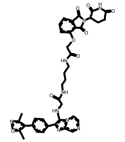 Cc1noc(C)c1-c1ccc(-c2nc3cnccn3c2NCC(=O)NCCCCNC(=O)COc2cccc3c2C(=O)N(C2CCC(=O)NC2=O)C3=O)cc1